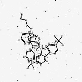 C=CCCCC1=C[C](=[Hf]([Cl])([Cl])(=[C](c2ccccc2)c2ccccc2)=[C]2c3cc(C(C)(C)C)ccc3-c3ccc(C(C)(C)C)cc32)C=C1